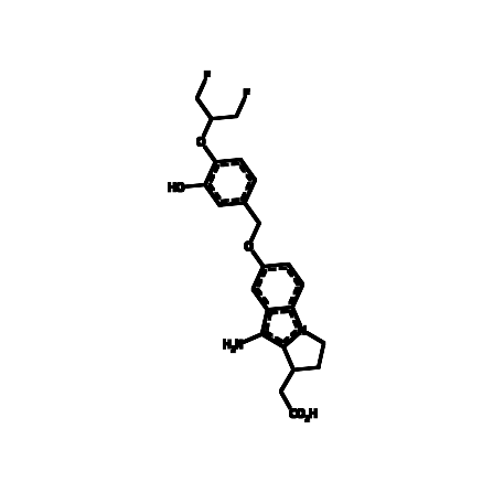 Nc1c2n(c3ccc(OCc4ccc(OC(CF)CF)c(O)c4)cc13)CCC2CC(=O)O